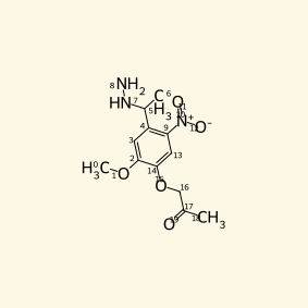 COc1cc(C(C)NN)c([N+](=O)[O-])cc1OCC(C)=O